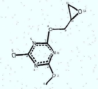 COc1nc(Cl)nc(OCC2CO2)n1